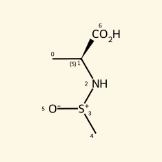 C[C@H](N[S+](C)[O-])C(=O)O